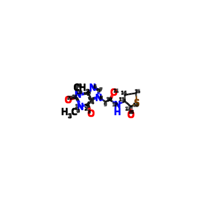 Cn1c(=O)c2c(ncn2CC(=O)NC2CCSC2=O)n(C)c1=O